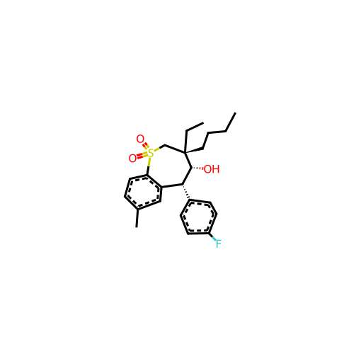 CCCC[C@]1(CC)CS(=O)(=O)c2ccc(C)cc2[C@@H](c2ccc(F)cc2)[C@H]1O